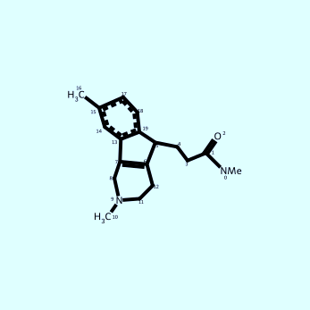 CNC(=O)CCC1C2=C(CN(C)CC2)c2cc(C)ccc21